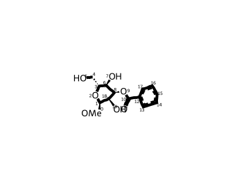 CO[C@H]1O[C@H](CO)[C@@H](O)[C@H](OC(=O)c2ccccc2)[C@H]1O